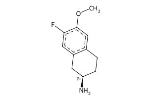 COc1cc2c(cc1F)C[C@H](N)CC2